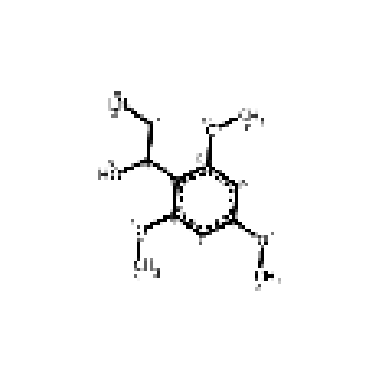 COc1cc(OC)c(C(O)CN)c(OC)c1